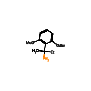 CCC(C)(P)c1c(OC)cccc1OC